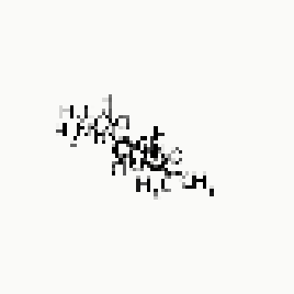 C=C1NC(=O)N(c2cc(Cl)c(Oc3cc([C@H](C)CC)c(=O)[nH]n3)c(Cl)c2)N=C1N